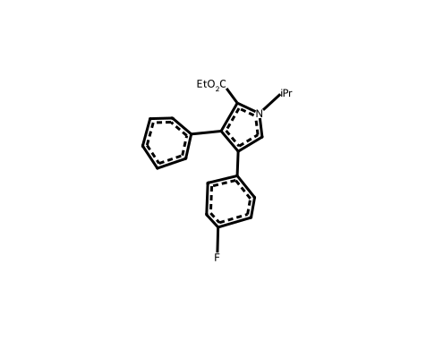 CCOC(=O)c1c(-c2ccccc2)c(-c2ccc(F)cc2)cn1C(C)C